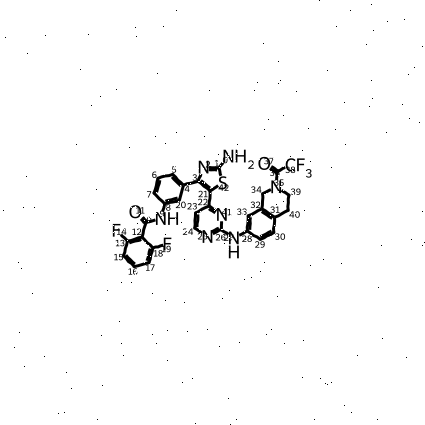 Nc1nc(-c2cccc(NC(=O)c3c(F)cccc3F)c2)c(-c2ccnc(Nc3ccc4c(c3)CN(C(=O)C(F)(F)F)CC4)n2)s1